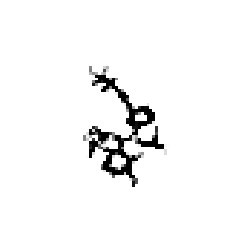 Cc1nnc2nc(N(CC(F)F)c3cccc(C#CC(C)(C)C(F)(F)F)c3)c3c(F)c(F)ccc3n12